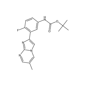 Cc1cnc2nc(-c3cc(NC(=O)OC(C)(C)C)ccc3F)cn2c1